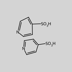 O=S(=O)(O)c1ccncc1.O=S(=O)(O)c1ccncc1